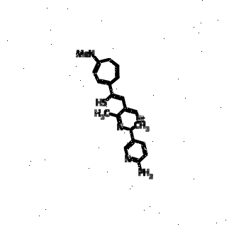 CC/C=C(/C=C(\S)C1=CC=C(NC)CC=C1)C(\C)=N/C(C)c1ccc(P)nc1